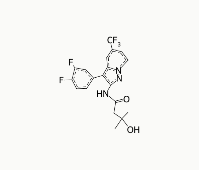 CC(C)(O)CC(=O)Nc1nn2ccc(C(F)(F)F)cc2c1-c1ccc(F)c(F)c1